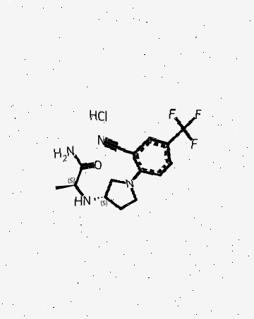 C[C@H](N[C@H]1CCN(c2ccc(C(F)(F)F)cc2C#N)C1)C(N)=O.Cl